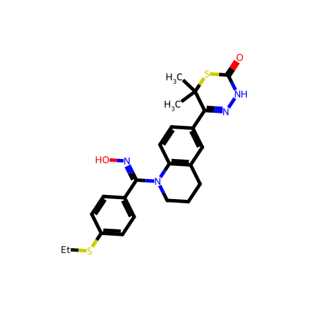 CCSc1ccc(C(=NO)N2CCCc3cc(C4=NNC(=O)SC4(C)C)ccc32)cc1